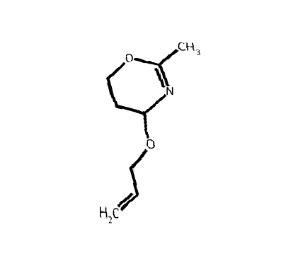 C=CCOC1CCOC(C)=N1